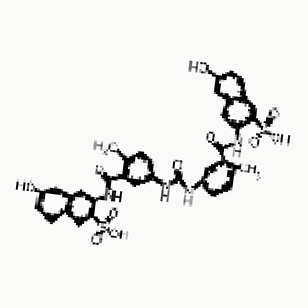 Cc1ccc(NC(=O)Nc2ccc(C)c(C(=O)Nc3cc4cc(O)ccc4cc3S(=O)(=O)O)c2)cc1C(=O)Nc1cc2cc(O)ccc2cc1S(=O)(=O)O